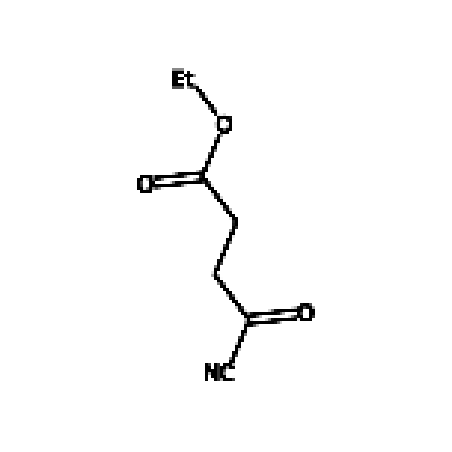 CCOC(=O)CCC(=O)C#N